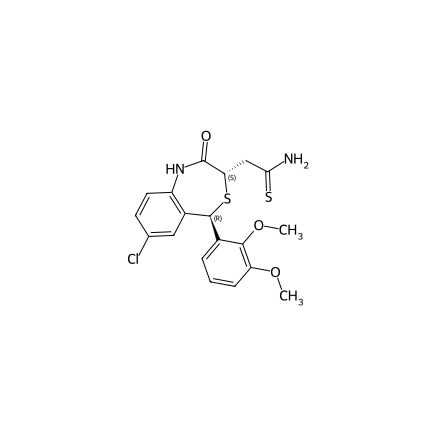 COc1cccc([C@@H]2S[C@@H](CC(N)=S)C(=O)Nc3ccc(Cl)cc32)c1OC